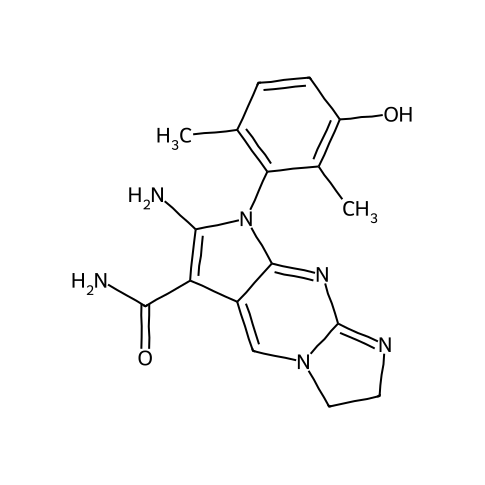 Cc1ccc(O)c(C)c1-n1c(N)c(C(N)=O)c2c1=NC1=NCCN1C=2